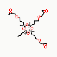 CCC[Si]1(C)O[Si](C)(CCCOCC2CO2)O[Si](C)(CCCOCC2CO2)O[Si](C)(CCCOCC2CO2)O1